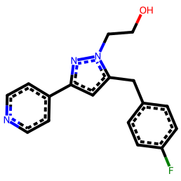 OCCn1nc(-c2ccncc2)cc1Cc1ccc(F)cc1